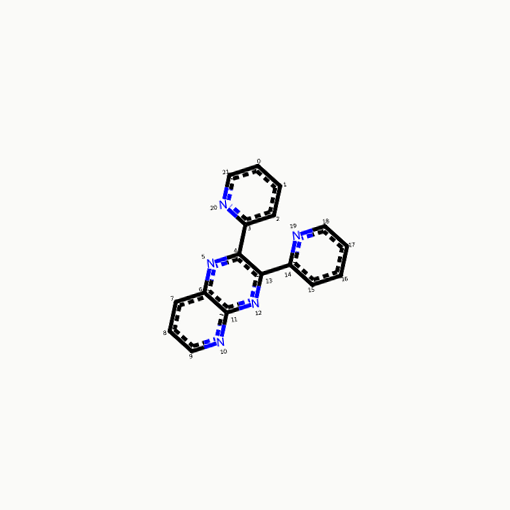 c1ccc(-c2nc3cccnc3nc2-c2ccccn2)nc1